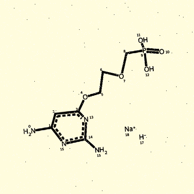 Nc1cc(OCCOCP(=O)(O)O)nc(N)n1.[H-].[Na+]